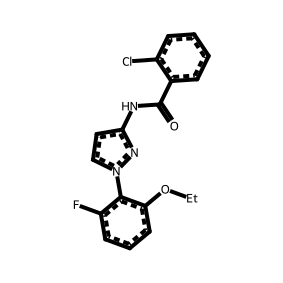 CCOc1cccc(F)c1-n1ccc(NC(=O)c2ccccc2Cl)n1